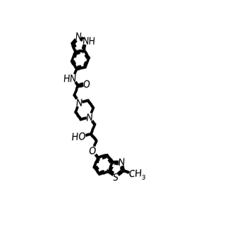 Cc1nc2cc(OCC(O)CN3CCN(CC(=O)Nc4ccc5[nH]ncc5c4)CC3)ccc2s1